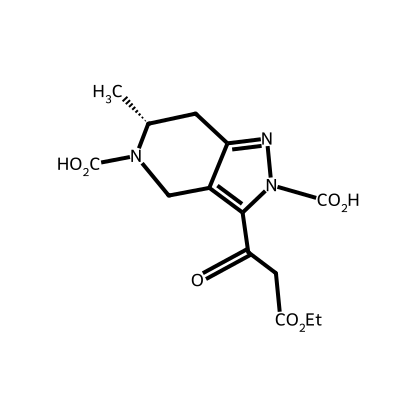 CCOC(=O)CC(=O)c1c2c(nn1C(=O)O)C[C@@H](C)N(C(=O)O)C2